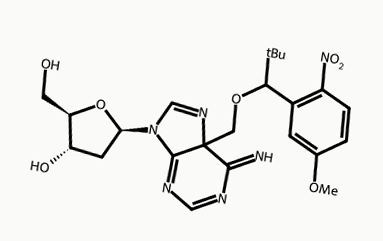 COc1ccc([N+](=O)[O-])c(C(OCC23N=CN([C@H]4C[C@H](O)[C@@H](CO)O4)C2=NC=NC3=N)C(C)(C)C)c1